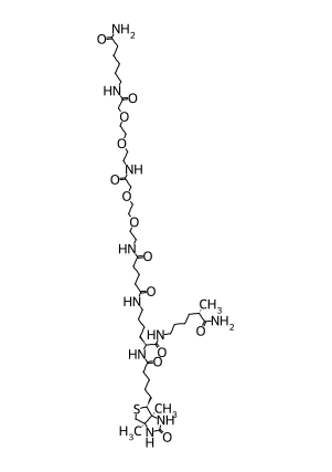 C[C@@H](CCCCNC(=O)[C@H](CCCCNC(=O)CCCC(=O)NCCOCCOCC(=O)NCCOCCOCC(=O)NCCCCCC(N)=O)NC(=O)CCCC[C@@H]1SC[C@]2(C)NC(=O)N[C@]12C)C(N)=O